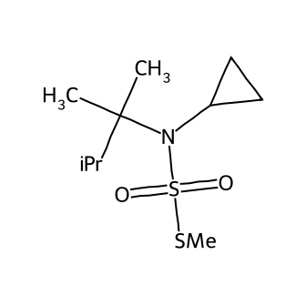 CSS(=O)(=O)N(C1CC1)C(C)(C)C(C)C